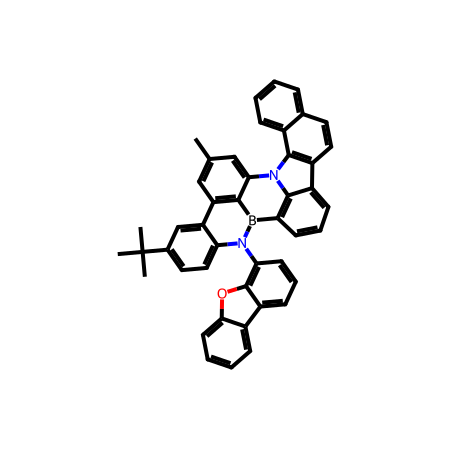 Cc1cc2c3c(c1)-n1c4c(cccc4c4ccc5ccccc5c41)B3N(c1cccc3c1oc1ccccc13)c1ccc(C(C)(C)C)cc1-2